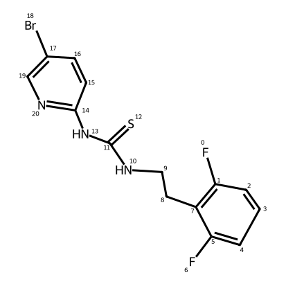 Fc1cccc(F)c1CCNC(=S)Nc1ccc(Br)cn1